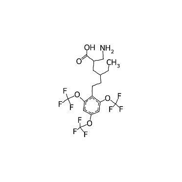 CCC(CCc1c(OC(F)(F)F)cc(OC(F)(F)F)cc1OC(F)(F)F)CC(CN)C(=O)O